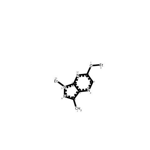 CCOc1[c]nc2c(C)nn(CC)c2n1